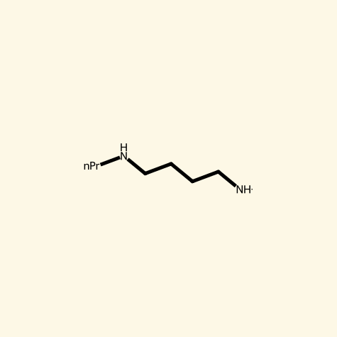 CCCNCCCC[NH]